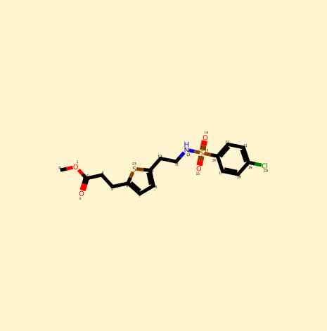 COC(=O)CCc1ccc(CCNS(=O)(=O)c2ccc(Cl)cc2)s1